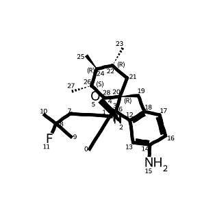 CC1=N[C@@]2(C(=O)N1CC(C)(C)F)c1cc(N)ccc1C[C@@]21C[C@@H](C)[C@H](C)[C@@H](C)C1